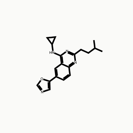 CC(C)CCc1nc(NC2CC2)c2cc(-c3cnco3)ccc2n1